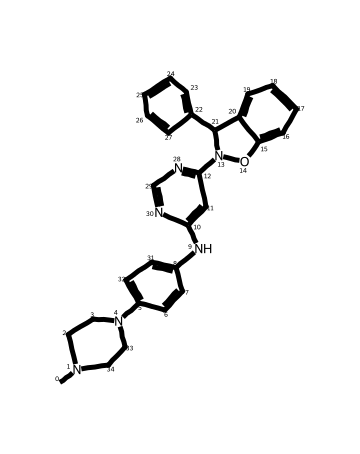 CN1CCN(c2ccc(Nc3cc(N4Oc5ccccc5C4c4ccccc4)ncn3)cc2)CC1